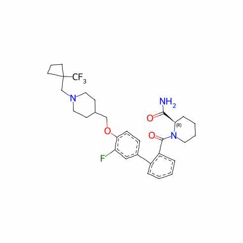 NC(=O)[C@H]1CCCCN1C(=O)c1ccccc1-c1ccc(OCC2CCN(CC3(C(F)(F)F)CCC3)CC2)c(F)c1